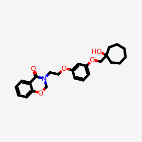 O=C1c2ccccc2OCN1CCOc1cccc(OCC2(O)CCCCCC2)c1